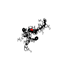 CCOCCNCC(=O)N[C@@H](CCc1ccccc1)C(=O)N[C@@H](CC(C)C)C(=O)N[C@@H](Cc1ccccc1)C(=O)N[C@@H](CC(C)C)C(=O)C(C)(O)COS(=O)(=O)CCOC(C)(C)CCOC(C)(C)CCOC